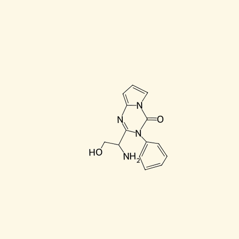 NC(CO)c1nc2cccn2c(=O)n1-c1ccccc1